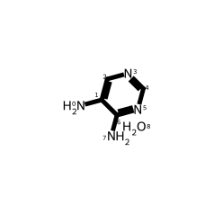 Nc1cncnc1N.O